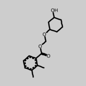 Cc1cccc(C(=O)OCOC2CCCC(O)C2)c1C